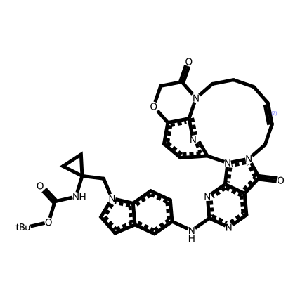 CC(C)(C)OC(=O)NC1(Cn2ccc3cc(Nc4ncc5c(=O)n6n(c5n4)-c4ccc5c(n4)N(CCC/C=C\C6)C(=O)CO5)ccc32)CC1